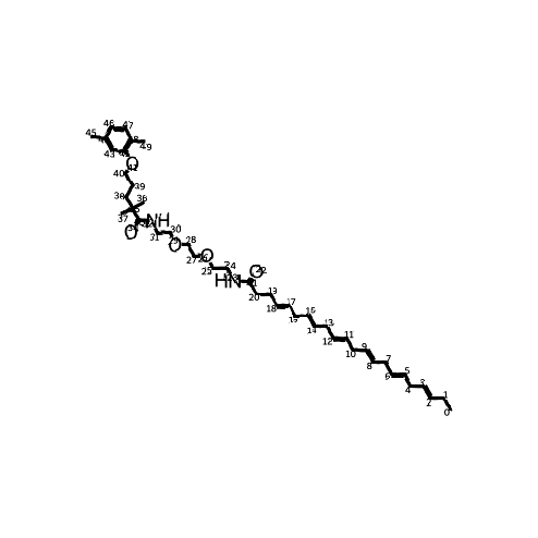 CCC=CCC=CCC=CCC=CCC=CCC=CCCC(=O)NCCOCCOCCNC(=O)C(C)(C)CCCOc1cc(C)ccc1C